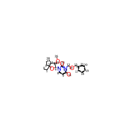 CCC1(CC)O[C@@H](n2ccc(=O)n(COCc3ccccc3)c2=O)[C@H](OC)[C@@H]1C